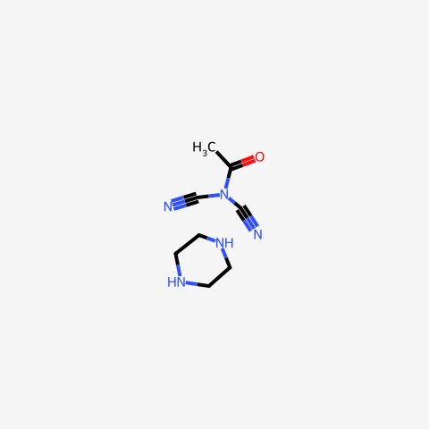 C1CNCCN1.CC(=O)N(C#N)C#N